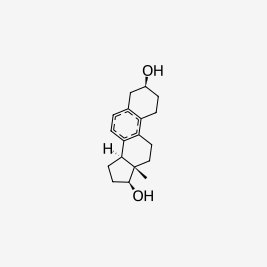 C[C@]12CCc3c(ccc4c3CC[C@H](O)C4)[C@@H]1CC[C@@H]2O